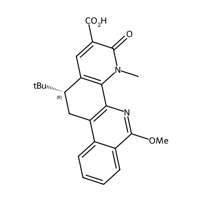 COc1nc2c(c3ccccc13)C[C@H](C(C)(C)C)c1cc(C(=O)O)c(=O)n(C)c1-2